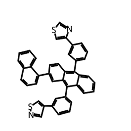 c1cc(-c2cnsc2)cc(-c2c3ccccc3c(-c3cccc(-c4cscn4)c3)c3ccc(-c4cccc5ccccc45)cc23)c1